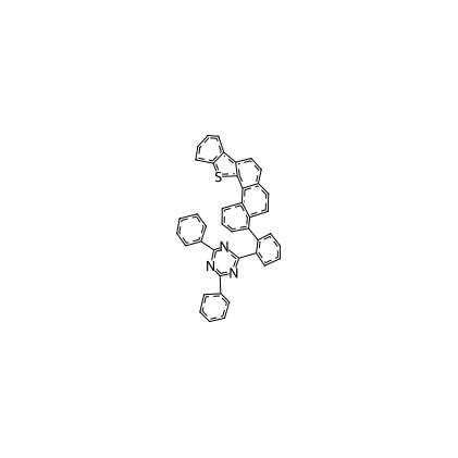 c1ccc(-c2nc(-c3ccccc3)nc(-c3ccccc3-c3cccc4c3ccc3ccc5c6ccccc6sc5c34)n2)cc1